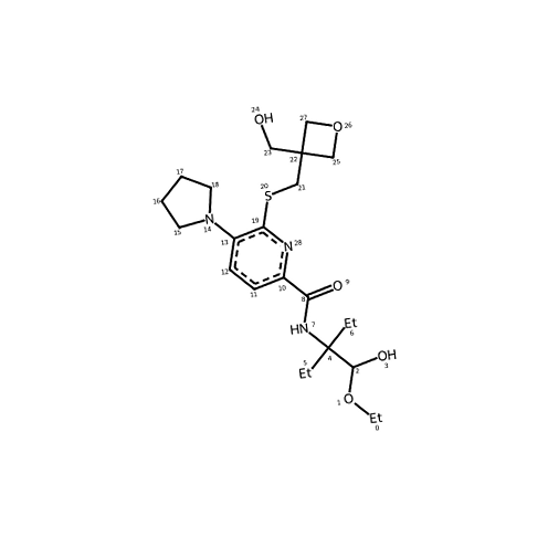 CCOC(O)C(CC)(CC)NC(=O)c1ccc(N2CCCC2)c(SCC2(CO)COC2)n1